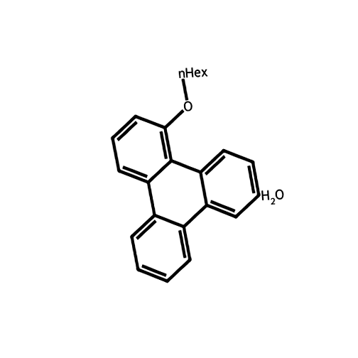 CCCCCCOc1cccc2c3ccccc3c3ccccc3c12.O